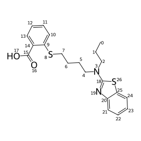 CCCN(CCCCSc1ccccc1C(=O)O)c1nc2ccccc2s1